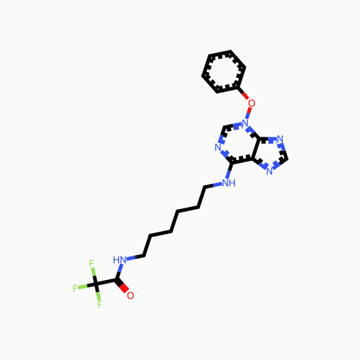 O=C(NCCCCCCNc1ncn(Oc2ccccc2)c2ncnc1-2)C(F)(F)F